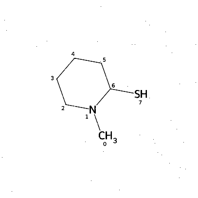 CN1CCCCC1S